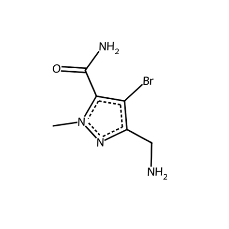 Cn1nc(CN)c(Br)c1C(N)=O